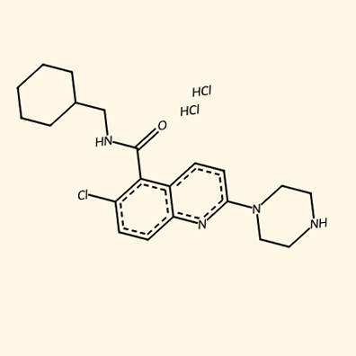 Cl.Cl.O=C(NCC1CCCCC1)c1c(Cl)ccc2nc(N3CCNCC3)ccc12